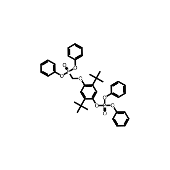 CC(C)(C)c1cc(OP(=O)(Oc2ccccc2)Oc2ccccc2)c(C(C)(C)C)cc1OCP(=O)(Oc1ccccc1)Oc1ccccc1